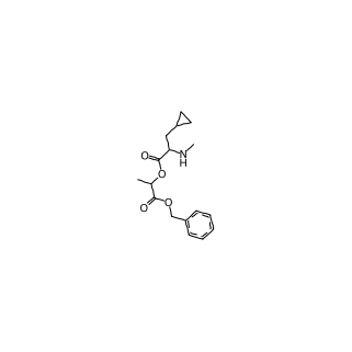 CNC(CC1CC1)C(=O)OC(C)C(=O)OCc1ccccc1